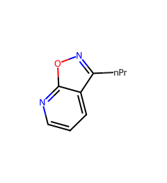 CCCc1noc2ncccc12